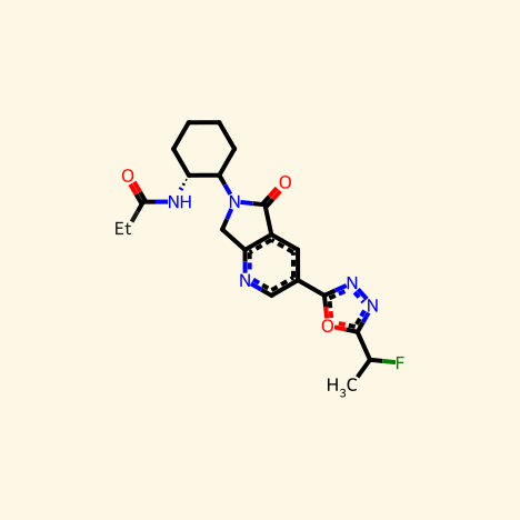 CCC(=O)N[C@@H]1CCCCC1N1Cc2ncc(-c3nnc(C(C)F)o3)cc2C1=O